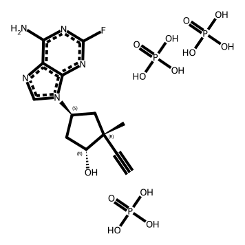 C#C[C@@]1(C)C[C@H](n2cnc3c(N)nc(F)nc32)C[C@H]1O.O=P(O)(O)O.O=P(O)(O)O.O=P(O)(O)O